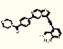 N=Cc1c(C#Cc2cnc3cnc(-c4ccc(C(=O)N5CCOCC5)cc4)cn23)ccnc1N